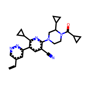 C=Cc1cnnc(-c2cc(C#N)c(N3CCN(C(=O)C4CC4)C(C4CC4)C3)nc2C2CC2)c1